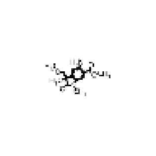 COCC1(C)C(=O)N(C)c2cc(C(=O)OC)c(N)cc21